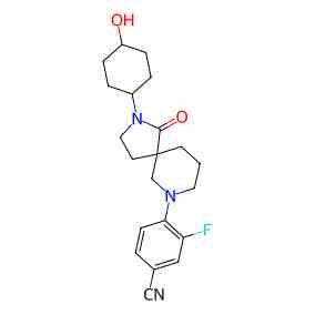 N#Cc1ccc(N2CCCC3(CCN(C4CCC(O)CC4)C3=O)C2)c(F)c1